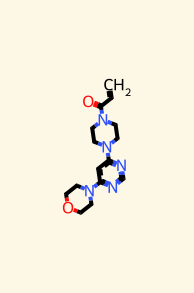 C=CC(=O)N1CCN(c2cc(N3CCOCC3)ncn2)CC1